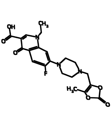 CCn1cc(C(=O)O)c(=O)c2cc(F)c(N3CCN(Cc4oc(=O)oc4C)CC3)cc21